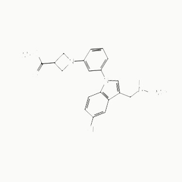 CONCc1cn(-c2cccc(N3CC(C(=O)OC)C3)c2)c2ccc(C(F)(F)F)cc12